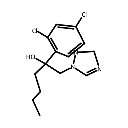 CCCCC(O)(CN1C=NCN1)c1ccc(Cl)cc1Cl